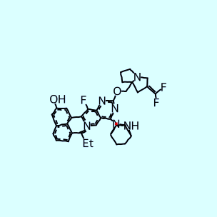 C=C(CC)c1cccc2cc(O)cc(-c3ncc4c(N5CC6CCC5CN6)nc(OCC56CCCN5CC(=C(F)F)C6)nc4c3F)c12